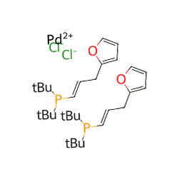 CC(C)(C)P(C=CCc1ccco1)C(C)(C)C.CC(C)(C)P(C=CCc1ccco1)C(C)(C)C.[Cl-].[Cl-].[Pd+2]